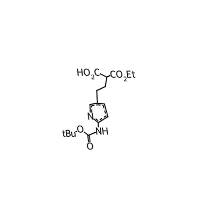 CCOC(=O)C(CCc1ccc(NC(=O)OC(C)(C)C)nc1)C(=O)O